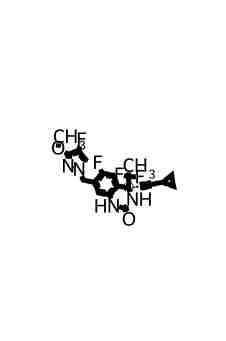 COc1nn(Cc2cc3c(cc2F)[C@@](C#CC2CC2)(C(C)(F)F)NC(=O)N3)cc1F